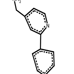 NCc1ccnc(-c2c[c]ccc2)c1